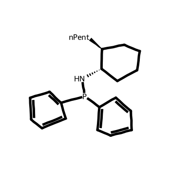 CCCCC[C@H]1CCCC[C@@H]1NP(c1ccccc1)c1ccccc1